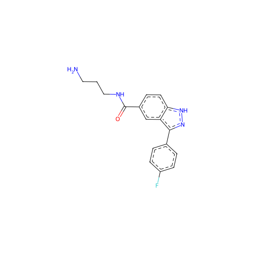 NCCCNC(=O)c1ccc2[nH]nc(-c3ccc(F)cc3)c2c1